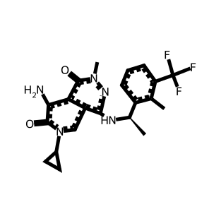 Cc1c([C@@H](C)Nc2nn(C)c(=O)c3c(N)c(=O)n(C4CC4)cc23)cccc1C(F)(F)F